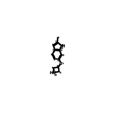 Cc1cc2ccc(OC3CNC3)cc2[nH]1